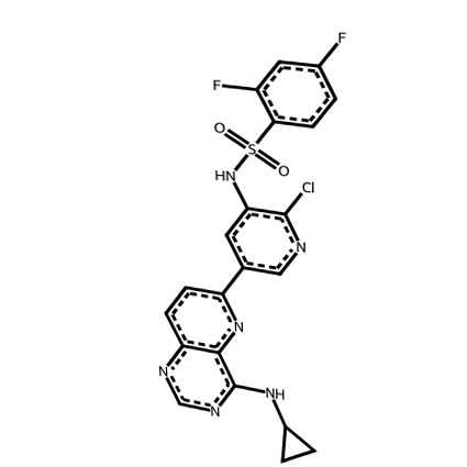 O=S(=O)(Nc1cc(-c2ccc3ncnc(NC4CC4)c3n2)cnc1Cl)c1ccc(F)cc1F